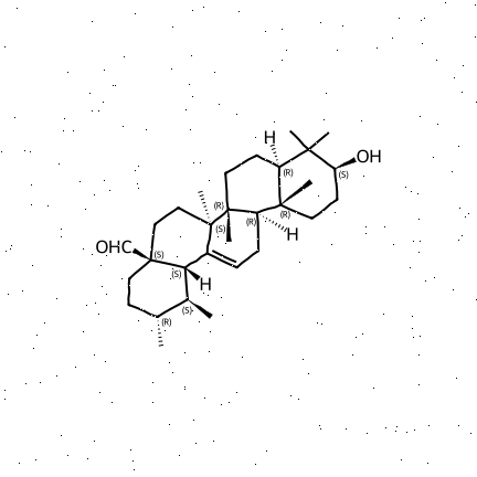 C[C@H]1[C@H](C)CC[C@]2(C=O)CC[C@]3(C)C(=CC[C@@H]4[C@@]5(C)CC[C@H](O)C(C)(C)[C@@H]5CC[C@]43C)[C@H]12